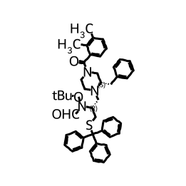 Cc1cccc(C(=O)N2CCN(C[C@H](CSC(c3ccccc3)(c3ccccc3)c3ccccc3)N(C=O)OC(C)(C)C)[C@@H](Cc3ccccc3)C2)c1C